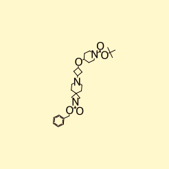 CC(C)(C)OC(=O)N1CCC(OC2CC(N3CCC4(CC3)CN(C(=O)OCc3ccccc3)C4)C2)CC1